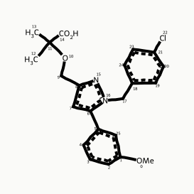 COc1cccc(-c2cc(COC(C)(C)C(=O)O)nn2Cc2ccc(Cl)cc2)c1